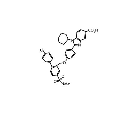 CNS(=O)(=O)c1ccc(-c2ccc(Cl)cc2)c(COc2ccc(-c3nc4cc(C(=O)O)ccc4n3C3CCCCC3)cc2)c1